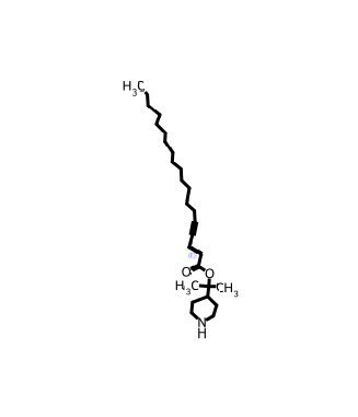 CCCCCCCCCCCCCCC#C/C=C/C(=O)OC(C)(C)C1CCNCC1